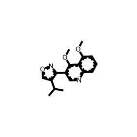 COc1cccc2n[c]c(-c3nocc3C(C)C)c(OC)c12